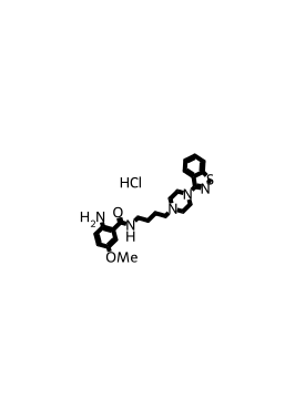 COc1ccc(N)c(C(=O)NCCCCN2CCN(c3nsc4ccccc34)CC2)c1.Cl